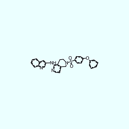 O=S(=O)(c1ccc(Oc2ccccc2)cc1)N1CCc2c(ccnc2Nc2cnc3ccccc3c2)C1